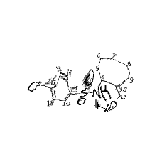 O=S(=O)(NC1CCCCCC1CO)c1ccc(Cl)cc1